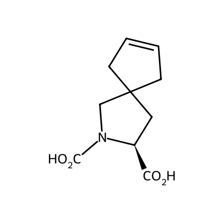 O=C(O)[C@@H]1CC2(CC=CC2)CN1C(=O)O